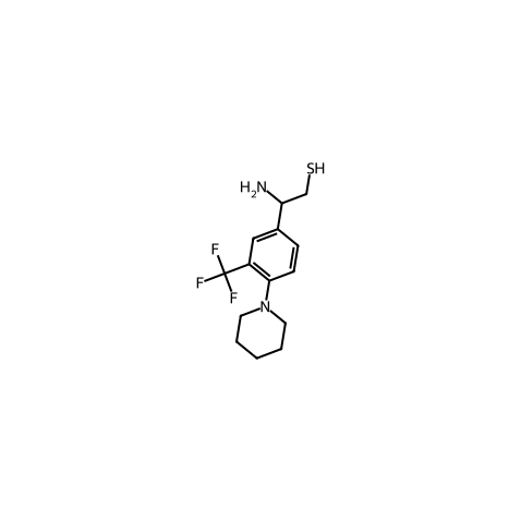 NC(CS)c1ccc(N2CCCCC2)c(C(F)(F)F)c1